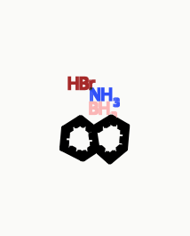 B.Br.N.c1ccc2ccccc2c1